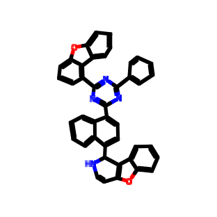 C1=Cc2oc3ccccc3c2C(c2ccc(-c3nc(-c4ccccc4)nc(-c4cccc5oc6ccccc6c45)n3)c3ccccc23)N1